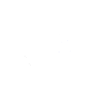 C=CC1C=CC=CC1C(=C)C1=c2\ccc(-c3ccc(-c4nc5c(n4-c4ccccc4)C=CCC5)cc3)c\c2=C(C2=CC=CC3C=CC=CC23)\C=C\CC\C=C\1